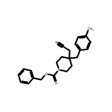 Cc1ccc(CC2(CC#N)CCN(C(=O)OCc3ccccc3)CC2)cc1